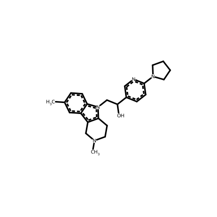 Cc1ccc2c(c1)c1c(n2CC(O)c2ccc(N3CCCC3)nc2)CCN(C)C1